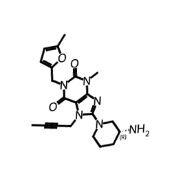 CC#CCn1c(N2CCC[C@@H](N)C2)nc2c1c(=O)n(Cc1ccc(C)o1)c(=O)n2C